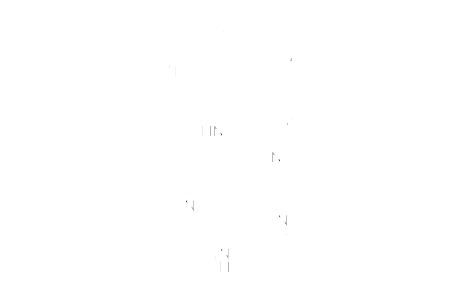 Clc1cccc(Cl)c1Nc1ncnc2[nH]cnc12